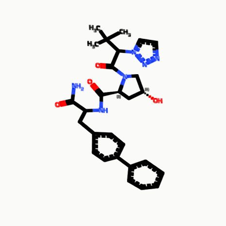 CC(C)(C)C(C(=O)N1C[C@H](O)C[C@H]1C(=O)NC(Cc1ccc(-c2ccccc2)cc1)C(N)=O)n1ccnn1